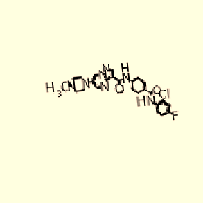 CN1CCN(c2cnc3c(C(=O)N[C@H]4CC[C@H](C(=O)Nc5ccc(F)cc5Cl)CC4)cnn3c2)CC1